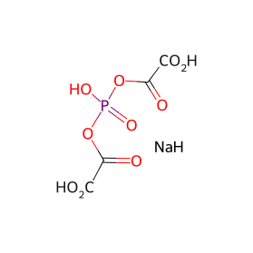 O=C(O)C(=O)OP(=O)(O)OC(=O)C(=O)O.[NaH]